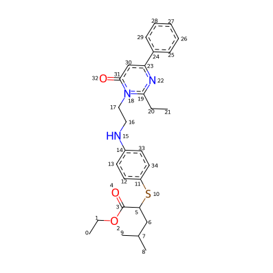 CCOC(=O)C(CC(C)C)Sc1ccc(NCCn2c(CC)nc(-c3ccccc3)cc2=O)cc1